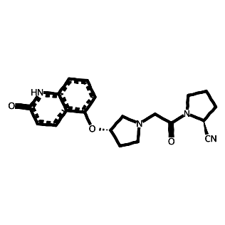 N#C[C@@H]1CCCN1C(=O)CN1CC[C@H](Oc2cccc3[nH]c(=O)ccc23)C1